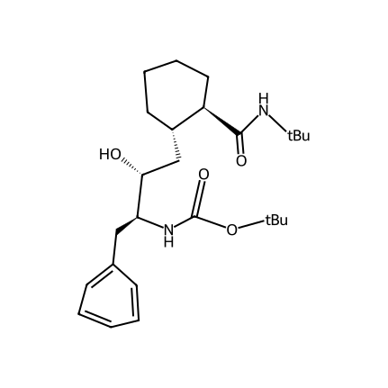 CC(C)(C)NC(=O)[C@@H]1CCCC[C@H]1C[C@@H](O)[C@H](Cc1ccccc1)NC(=O)OC(C)(C)C